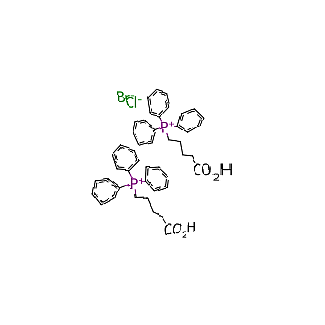 O=C(O)CCCC[P+](c1ccccc1)(c1ccccc1)c1ccccc1.O=C(O)CCCC[P+](c1ccccc1)(c1ccccc1)c1ccccc1.[Br-].[Cl-]